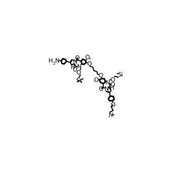 COc1cc2c(cc1OCCCCCOc1cc3c(cc1OC)C(=O)N1C=C(c4ccc(OCCCN(C)C)cc4)C[C@H]1C(=O)N3COCC[Si](C)(C)C)N(COCC[Si](C)(C)C)C(=O)[C@@H]1CC(c3ccc(N)cc3)=CN1C2=O